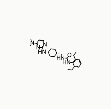 CCc1cccc(CC)c1NC(=O)NC[C@H]1CC[C@@H](Nc2nccc(N(C)C)n2)CC1